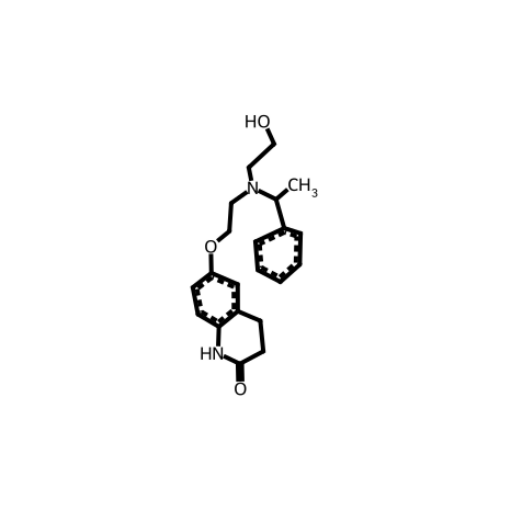 CC(c1ccccc1)N(CCO)CCOc1ccc2c(c1)CCC(=O)N2